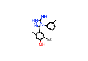 CCc1cc(-c2n[nH]c(=N)n2-c2cccc(C)c2)c(C)cc1O